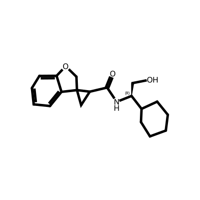 O=C(N[C@@H](CO)C1CCCCC1)C1CC12COc1ccccc12